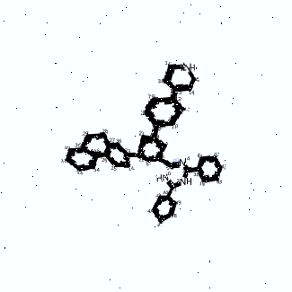 N=C(NC(/N=C/c1cc(-c2ccc(C3=CCNC=C3)cc2)cc(-c2ccc3c(ccc4ccccc43)c2)c1)c1ccccc1)c1ccccc1